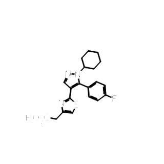 O=C(O)Cc1csc(-c2cnn(C3CCCCC3)c2-c2ccc(F)cc2)n1